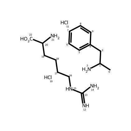 CC(N)Cc1ccccc1.Cl.Cl.N=C(N)NCCCCC(N)C(=O)O